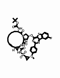 COc1ccc(-c2nc(O[C@@H]3C[C@H]4C(=O)N[C@]5(C(=O)NS(=O)(=O)C6CC6)C[C@H]5/C=C\CCCCC[C@H](NC(=O)OC(C)(C)C)C(=O)N4C3)c3sc4ccc(F)cc4c3n2)cc1